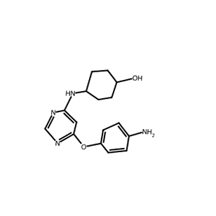 Nc1ccc(Oc2cc(NC3CCC(O)CC3)ncn2)cc1